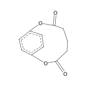 O=C1CCCC(=O)Oc2ccc(cc2)O1